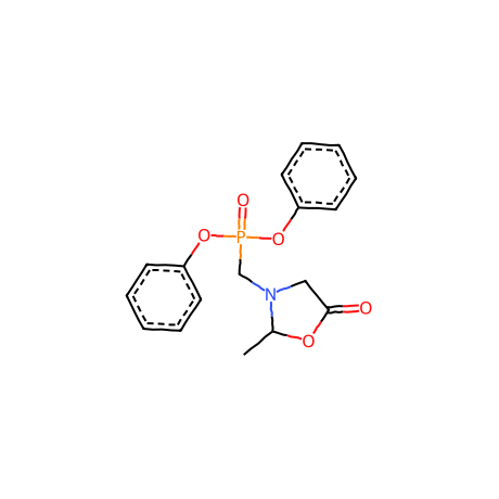 CC1OC(=O)CN1CP(=O)(Oc1ccccc1)Oc1ccccc1